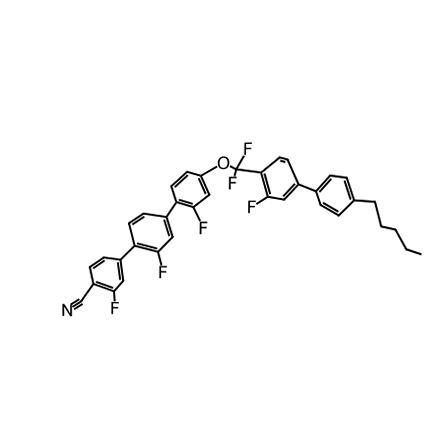 CCCCCc1ccc(-c2ccc(C(F)(F)Oc3ccc(-c4ccc(-c5ccc(C#N)c(F)c5)c(F)c4)c(F)c3)c(F)c2)cc1